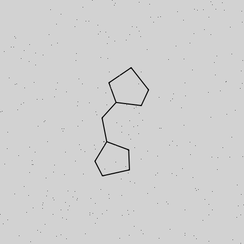 C1CC[C](CC2CCCC2)C1